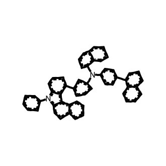 c1ccc(-n2c3cccc(-c4cccc(N(c5ccc(-c6cccc7ccccc67)cc5)c5cccc6ccccc56)c4)c3c3c4ccccc4ccc32)cc1